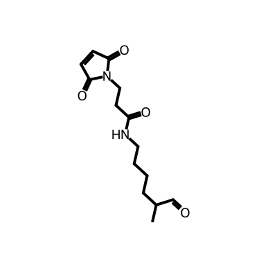 CC(C=O)CCCCNC(=O)CCN1C(=O)C=CC1=O